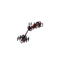 O=C(NS(=O)(=O)CCCCCCCCCCNC(=O)[C@H](O)[C@@H](O)[C@H](O)[C@H](O)CO)c1ccc(N2C[C@@H]3C[C@H]2C[C@H]3OCc2c(-c3c(Cl)cccc3Cl)noc2C2CC2)c(F)c1